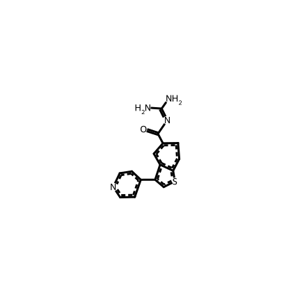 NC(N)=NC(=O)c1ccc2scc(-c3ccncc3)c2c1